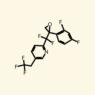 Fc1ccc(C2(C(F)(F)c3ccc(CC(F)(F)F)cn3)CO2)c(F)c1